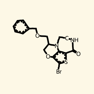 O=C1NCCN2c3c1sc(Br)c3OCC2COCc1ccccc1